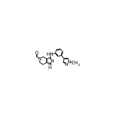 Cn1cc(-c2cccc(Nc3n[nH]c4c3CN(C=O)CC4)c2)cn1